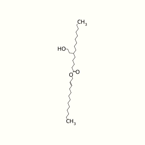 CCCCCCCCCCC=CCOC(=O)CCCCC(CCO)CCCCCCCCC